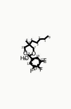 CCCCCC1(C)COC(O)(c2cc(F)c(F)c(F)c2)OC1